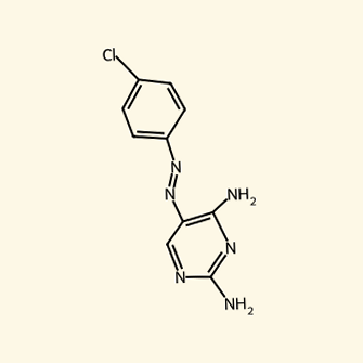 Nc1ncc(N=Nc2ccc(Cl)cc2)c(N)n1